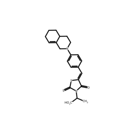 CC(C(=O)O)N1C(=O)C(=Cc2ccc(N3CCC4CCCC=C4C3)cc2)SC1=S